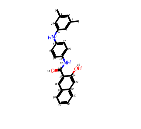 Cc1cc(C)cc(Nc2ccc(NC(=O)c3cc4ccccc4cc3O)cc2)c1